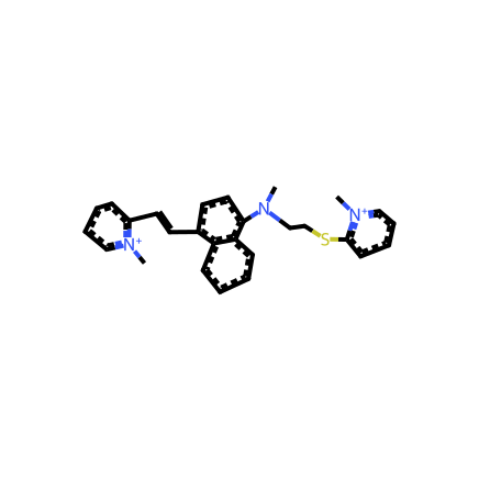 CN(CCSc1cccc[n+]1C)c1ccc(/C=C/c2cccc[n+]2C)c2ccccc12